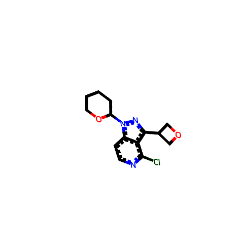 Clc1nccc2c1c(C1COC1)nn2C1CCCCO1